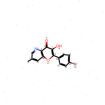 Cc1cnc2c(=O)c(O)c(-c3ccc(Br)cc3)oc2c1